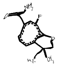 CC1(C)COc2c1ccc(C(N)=O)c2F